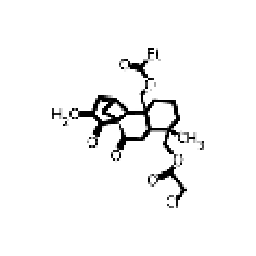 C=C1C=C2C[C@@]3(C(=O)CC4C(C)(COC(=O)CCl)CCC[C@@]4(COC(=O)CC)C23)C1=O